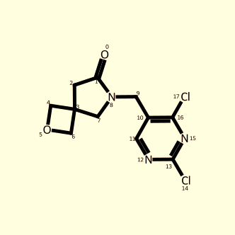 O=C1CC2(COC2)CN1Cc1cnc(Cl)nc1Cl